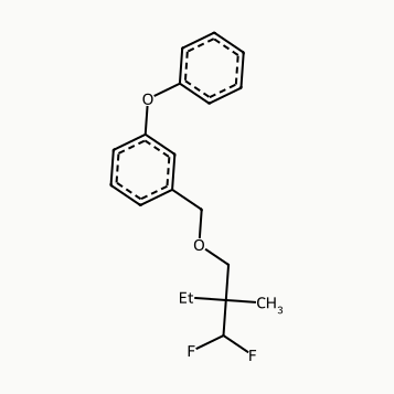 CCC(C)(COCc1cccc(Oc2ccccc2)c1)C(F)F